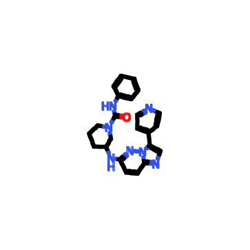 O=C(Nc1ccccc1)N1CCCC(Nc2ccc3ncc(-c4ccncc4)n3n2)C1